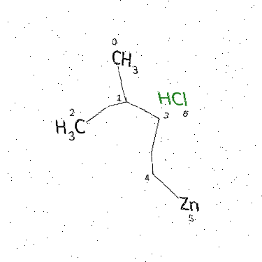 CC(C)C[CH2][Zn].Cl